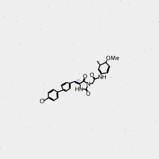 COC1C=CC(NC(=O)CN2C(=O)N/C(=C\c3ccc(-c4ccc(Cl)cc4)cc3)C2=O)=CC1C